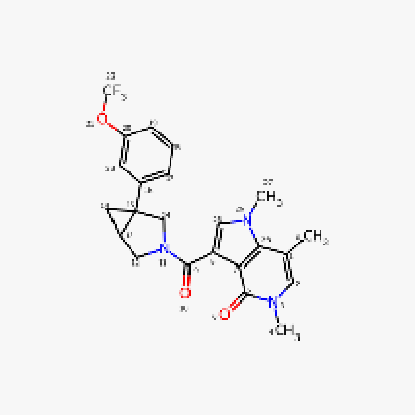 Cc1cn(C)c(=O)c2c(C(=O)N3CC4CC4(c4cccc(OC(F)(F)F)c4)C3)cn(C)c12